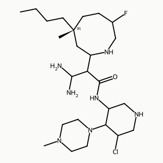 CCCC[C@]1(C)CCC(F)CNC(C(C(=O)NC2CNCC(Cl)C2N2CCN(C)CC2)C(N)N)C1